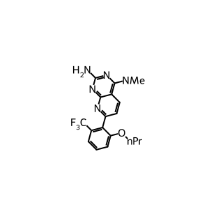 CCCOc1cccc(C(F)(F)F)c1-c1ccc2c(NC)nc(N)nc2n1